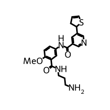 COc1ccc(NC(=O)c2cncc(C3CC=CS3)c2)cc1C(=O)NCCCN